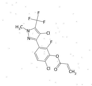 C=CC(=O)Oc1c(Cl)ccc(-c2nn(C)c(C(F)(F)F)c2Cl)c1F